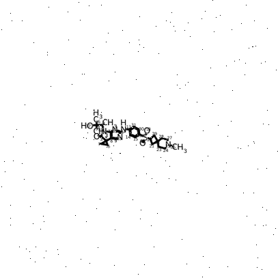 CC(N1C(=O)C2(CC2)c2cnc(Nc3ccc(S(=O)(=O)C4CC5(CCN(C)CC5)C4)cc3)nc21)C(C)(C)O